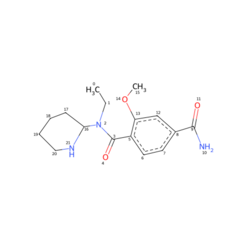 CCN(C(=O)c1ccc(C(N)=O)cc1OC)C1CCCCN1